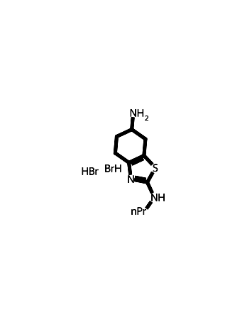 Br.Br.CCCNc1nc2c(s1)CC(N)CC2